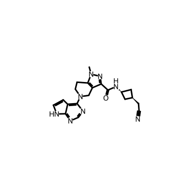 Cn1nc(C(=O)N[C@H]2C[C@H](CC#N)C2)c2c1CCN(c1ncnc3[nH]ccc13)C2